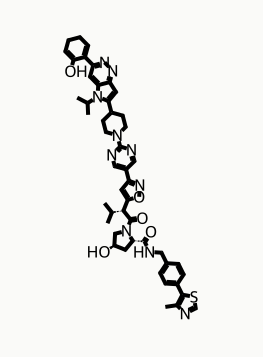 Cc1ncsc1-c1ccc(CNC(=O)[C@@H]2C[C@@H](O)CN2C(=O)[C@@H](c2cc(-c3cnc(N4CCC(c5cc6nnc(C7=CCCC=C7O)cc6n5C(C)C)CC4)nc3)no2)C(C)C)cc1